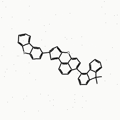 CC1(C)c2ccccc2-c2c(-c3ccc4c5c(cccc35)-c3cc(-c5ccc6sc7ccccc7c6c5)ccc3O4)cccc21